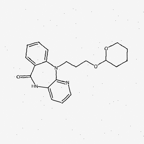 O=C1Nc2cccnc2N(CCCOC2CCCCO2)c2ccccc21